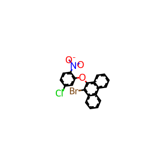 O=[N+]([O-])c1ccc(Cl)cc1Oc1c(Br)c2ccccc2c2ccccc12